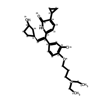 CCN(CC)CCCOc1ccc(/C(=C/[C@H]2CCC(O)C2)c2ccc(C3CC3)c(=O)[nH]2)cc1Cl